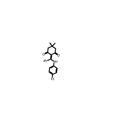 CCc1ccc(NC(=C2C(=O)CC(C)(C)CC2=O)C(C)C)cc1